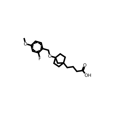 COc1ccc(COC23CCC(CCCC(=O)O)(CC2)C3)c(F)c1